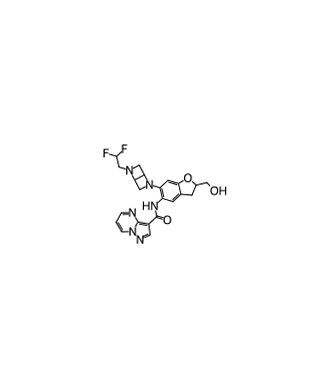 O=C(Nc1cc2c(cc1N1CC3C1CN3CC(F)F)OC(CO)C2)c1cnn2cccnc12